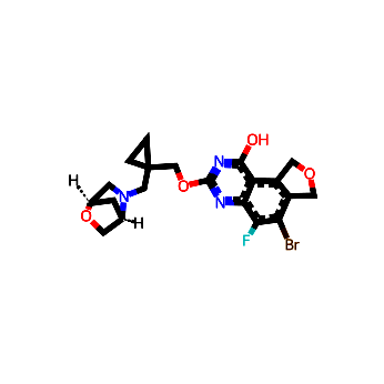 Oc1nc(OCC2(CN3C[C@H]4C[C@@H]3CO4)CC2)nc2c(F)c(Br)c3c(c12)COC3